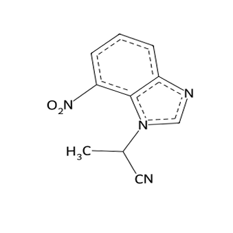 CC(C#N)n1cnc2cccc([N+](=O)[O-])c21